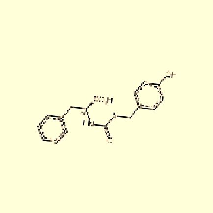 O=C(N[C@@H](Cc1ccccc1)C(=O)O)SCc1ccc(O)cc1